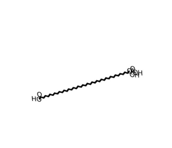 O=C(O)CCCCCCCCCCCCCCCCCCCCCCCCCCCCCCCCCCCCCOP(=O)(O)O